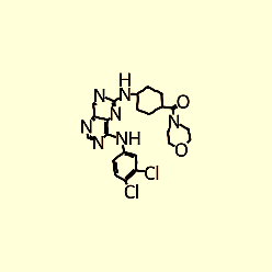 O=C(C1CCC(Nc2ncc3ncnc(Nc4ccc(Cl)c(Cl)c4)c3n2)CC1)N1CCOCC1